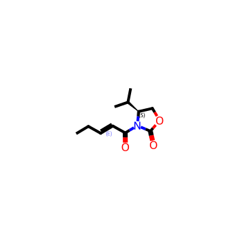 CC/C=C/C(=O)N1C(=O)OC[C@@H]1C(C)C